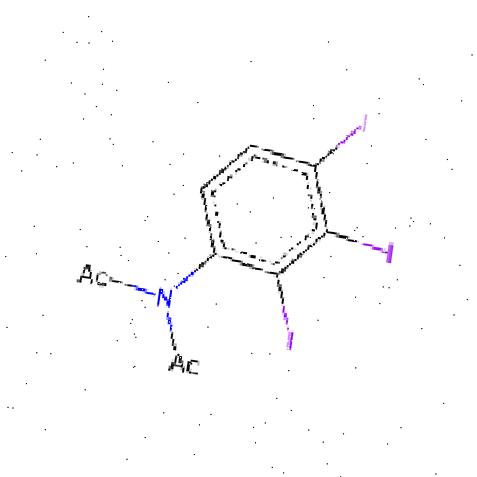 CC(=O)N(C(C)=O)c1ccc(I)c(I)c1I